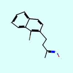 CCOC(=O)C(CCc1ccc2ccccc2c1Br)=NO